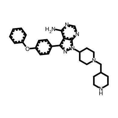 Nc1ncnc2c1c(-c1ccc(Oc3ccccc3)cc1)nn2C1CCN(CC2CCNCC2)CC1